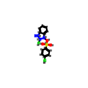 O=S(=O)(ON1c2ccccc2NN1Cl)c1ccc(Cl)cc1